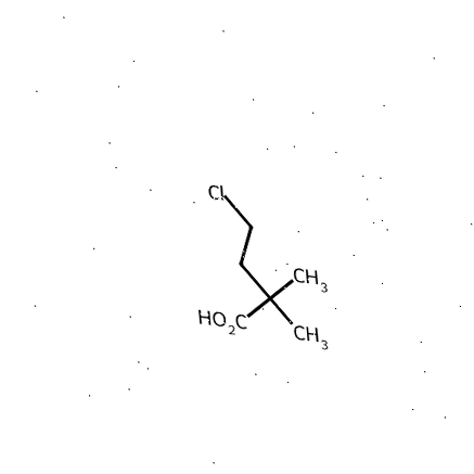 CC(C)(CCCl)C(=O)O